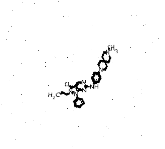 C=CCn1c(=O)c2cnc(Nc3ccc(N4CCC5(CCN(C)CC5)CC4)cc3)nc2n1-c1ccccc1